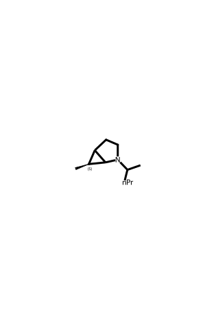 CCCC(C)N1CCC2C1[C@H]2C